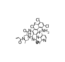 C=CC(=O)N1CC2C(=O)Nc3c(Cl)c(-c4c(N)c(Cl)cc(Cl)c4F)c(F)c4c3c(nc(=O)n4-c3c(C)ccnc3C(C)C)N2CC1C